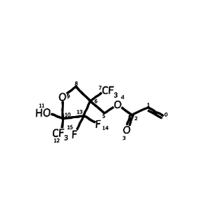 C=CC(=O)OCC1(C(F)(F)F)COC(O)(C(F)(F)F)C1(F)F